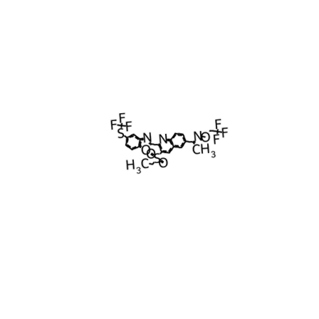 CCS(=O)(=O)c1cc2cc(/C(C)=N/OCC(F)(F)F)ccc2nc1-c1nc2cc(SC(F)(F)F)ccc2o1